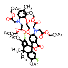 CC(=O)OCOC(=O)CN(CC(=O)OCOC(C)=O)c1ccc(C)cc1OCCOc1cc2c(cc1N(CC(=O)OCOC(C)=O)CC(=O)OCOC(C)=O)C(=O)OC21c2cc(F)c(OC(C)=O)cc2C(C)(C)c2cc(OC(C)=O)c(F)cc21